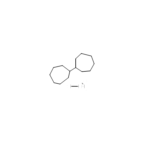 C1CCCC(C2CCCCCC2)CC1.O=[PH2]Cl